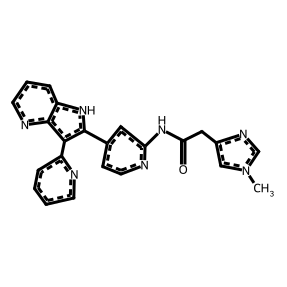 Cn1cnc(CC(=O)Nc2cc(-c3[nH]c4cccnc4c3-c3ccccn3)ccn2)c1